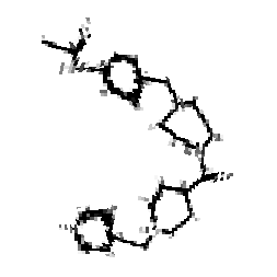 CC(=O)Nc1ccc(CN2CCN(C(=O)C3CCN(Cc4ccncc4)CC3)CC2)cc1